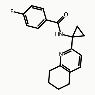 O=C(NC1(c2ccc3c(n2)CCCC3)CC1)c1ccc(F)cc1